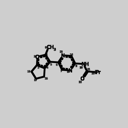 Cc1oc2c(c1-c1cnc(NC(=O)C(C)C)cn1)CCC2